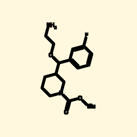 CC(C)(C)OC(=O)N1CCCC(C(OCCN)c2cccc(F)c2)C1